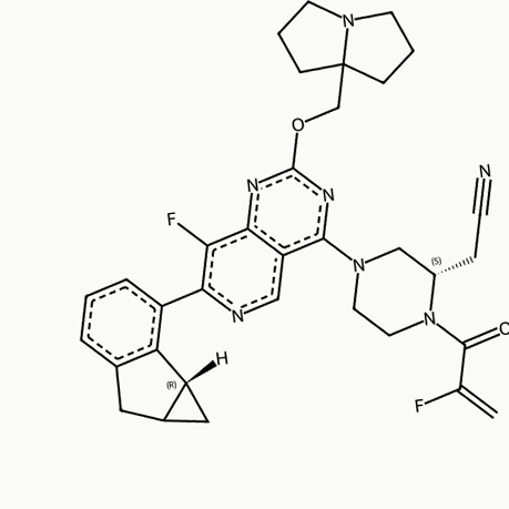 C=C(F)C(=O)N1CCN(c2nc(OCC34CCCN3CCC4)nc3c(F)c(-c4cccc5c4[C@@H]4CC4C5)ncc23)C[C@@H]1CC#N